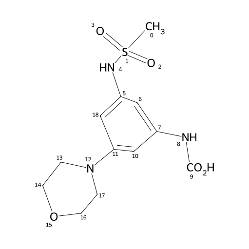 CS(=O)(=O)Nc1cc(NC(=O)O)cc(N2CCOCC2)c1